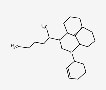 CCCCC(C)P(CP(C1C=CCCC1)C1CCCCC1)C1CCCCC1